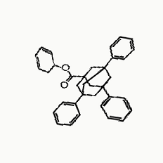 O=C(OC1C=CC=CC1)C12CC3(c4ccccc4)CC(c4ccccc4)(C1)CC(c1ccccc1)(C2)C3